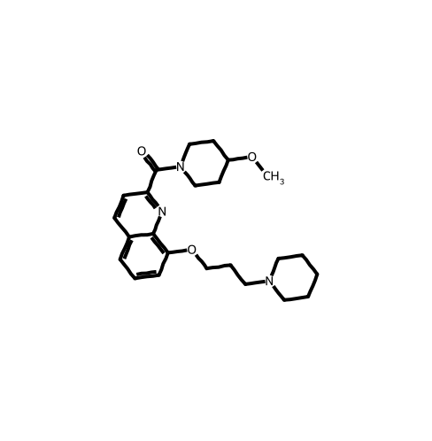 COC1CCN(C(=O)c2ccc3cccc(OCCCN4CCCCC4)c3n2)CC1